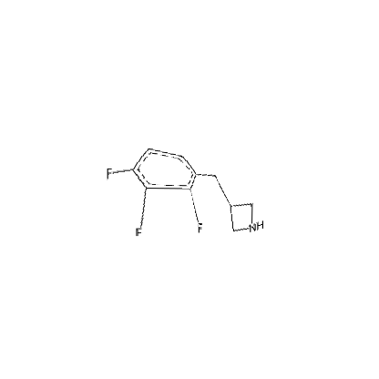 Fc1ccc(CC2CNC2)c(F)c1F